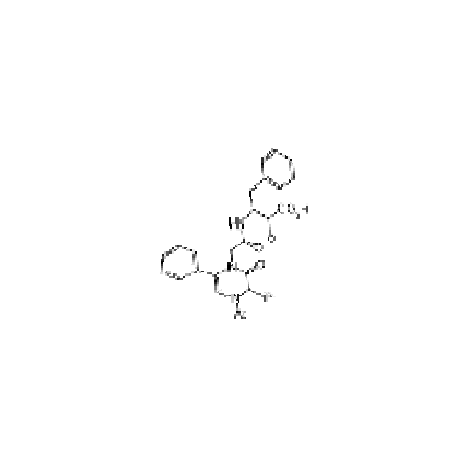 CC(=O)N1C=C(c2ccccc2)N(CC(=O)N[C@@H](Cc2ccccc2)C(=O)C(=O)O)C(=O)C1C(C)C